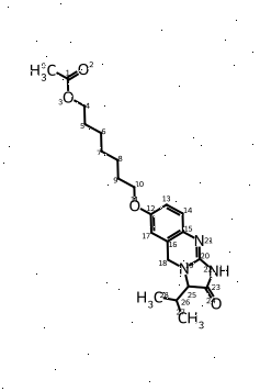 CC(=O)OCCCCCCCOc1ccc2c(c1)CN1C(=N2)NC(=O)C1C(C)C